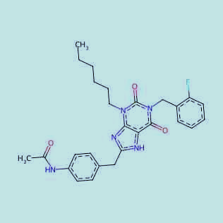 CCCCCCn1c(=O)n(Cc2ccccc2F)c(=O)c2[nH]c(Cc3ccc(NC(C)=O)cc3)nc21